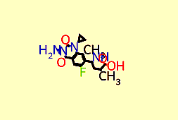 Cc1c(C(=N)CC(C)C(=O)O)c(F)cc2c(=O)n(N)c(=O)n(C3CC3)c12